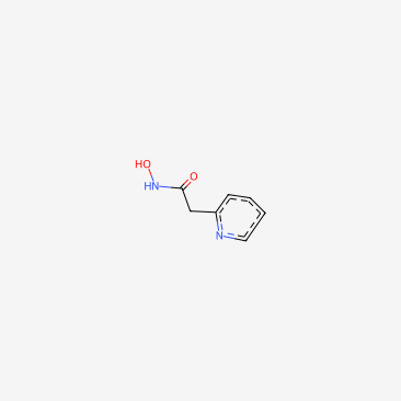 O=C(Cc1ccccn1)NO